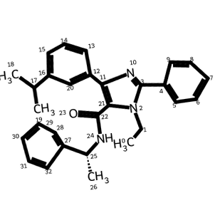 CCn1c(-c2ccccc2)nc(-c2cccc(C(C)C)c2)c1C(=O)N[C@H](C)c1ccccc1